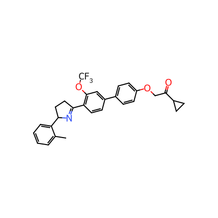 Cc1ccccc1C1CCC(c2ccc(-c3ccc(OCC(=O)C4CC4)cc3)cc2OC(F)(F)F)=N1